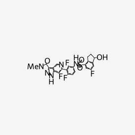 CNC(=O)c1n[nH]c2c(F)c(-c3c(F)ccc(NS(=O)(=O)c4cc(F)cc5c4CCC5O)c3F)ncc12